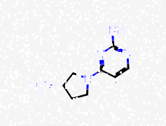 Nc1nccc(N2CC[C@H](N)C2)n1